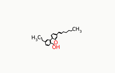 CCCCCC=Cc1ccc(-c2cc(CCC)ccc2C(=O)O)cc1